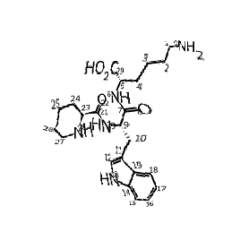 NCCCC[C@H](NC(=O)[C@H](Cc1c[nH]c2ccccc12)NC(=O)[C@@H]1CCCCN1)C(=O)O